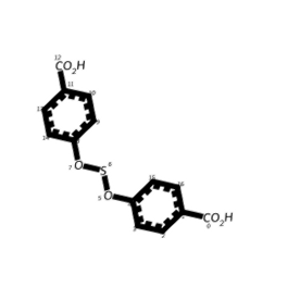 O=C(O)c1ccc(OSOc2ccc(C(=O)O)cc2)cc1